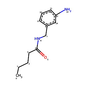 CCCCC(=O)NCc1cccc(N)c1